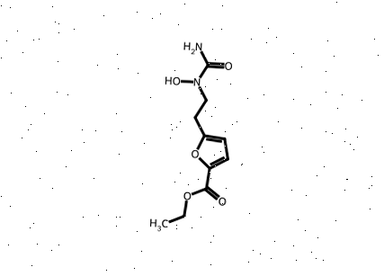 CCOC(=O)c1ccc(CCN(O)C(N)=O)o1